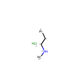 CC(C)CCNC#N.Cl